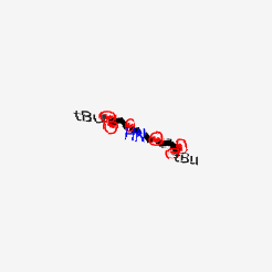 CC(C)(C)OC(=O)CCOCCNCCOCCC(=O)OC(C)(C)C